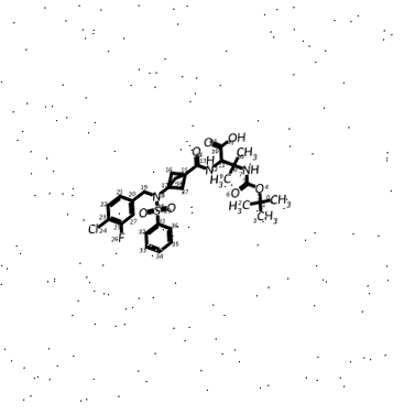 CC(C)(C)OC(=O)NC(C)(C)C(NC(=O)C12CC(N(Cc3ccc(Cl)c(F)c3)S(=O)(=O)c3ccccc3)(C1)C2)C(=O)O